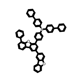 c1ccc(-c2ccc(N(c3ccc(-c4ccccc4)cc3)c3ccc(-c4cc(-c5ccc6oc7ccccc7c6c5)cc5c4oc4c(-c6ccccc6)cccc45)cc3)cc2)cc1